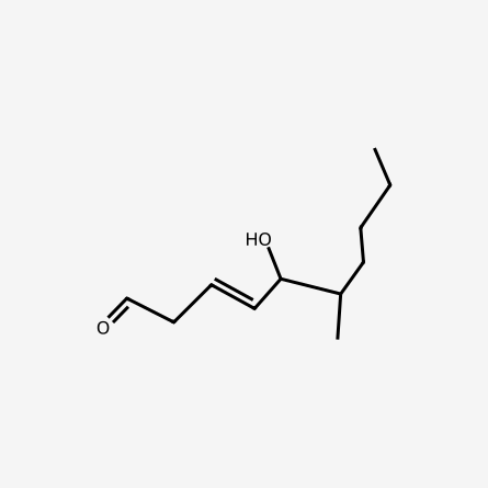 CCCCC(C)C(O)C=CCC=O